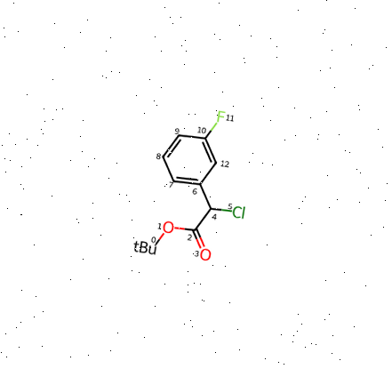 CC(C)(C)OC(=O)C(Cl)c1cccc(F)c1